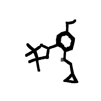 CSc1ccc(NCC2CC2)c(B2OC(C)(C)C(C)(C)O2)c1